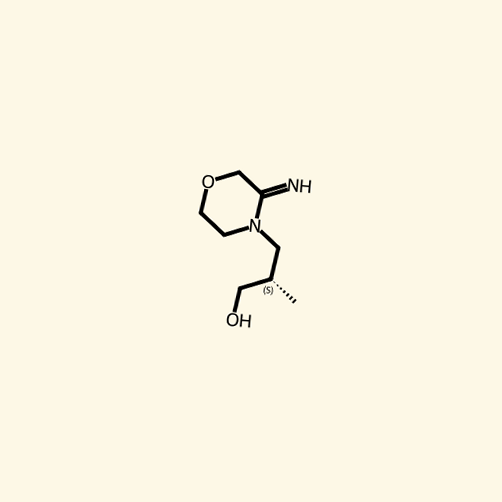 C[C@H](CO)CN1CCOCC1=N